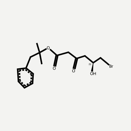 CC(C)(Cc1ccccc1)OC(=O)CC(=O)C[C@H](O)CBr